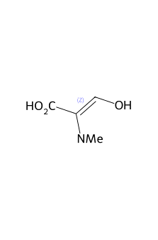 CN/C(=C\O)C(=O)O